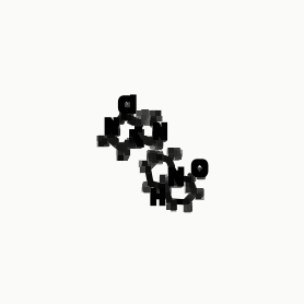 O=C1CCC[C@H]2CC[C@H](c3ncc4c(Cl)nccn34)CN12